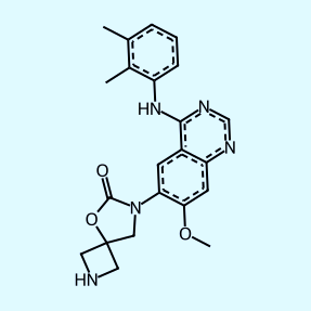 COc1cc2ncnc(Nc3cccc(C)c3C)c2cc1N1CC2(CNC2)OC1=O